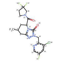 O=C(C1CC(C(F)(F)F)Cc2nn(Cc3ncc(F)cc3Cl)c(=O)n21)N1CCC(F)(F)C1